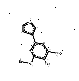 CCOc1cc(-c2ccoc2)cc(C=O)c1O